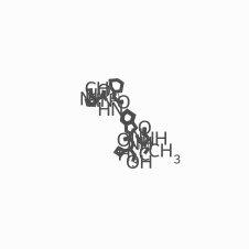 CC(C)[C@@H]1CN(C2(C(=O)NC(CO)C3CCC3)Cc3ccc(NC(=O)[C@@H](NC(=O)c4ccnn4C)C4CCCCC4)cc3C2)C(=O)N1